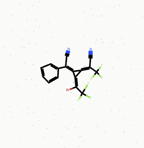 N#CC(=C1C(=C(\C#N)C(F)(F)F)/C1=C(/Br)C(F)(F)F)c1ccccc1